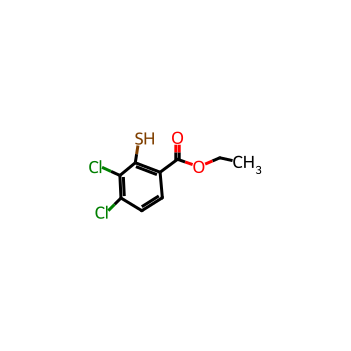 CCOC(=O)c1ccc(Cl)c(Cl)c1S